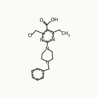 CCc1nc(N2CCN(Cc3ccccc3)CC2)nc(CCl)c1C(=O)O